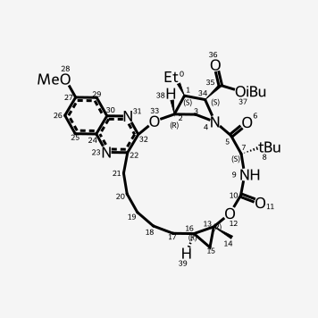 CC[C@@H]1[C@@H]2CN(C(=O)[C@H](C(C)(C)C)NC(=O)O[C@]3(C)C[C@H]3CCCCCc3nc4ccc(OC)cc4nc3O2)[C@@H]1C(=O)OCC(C)C